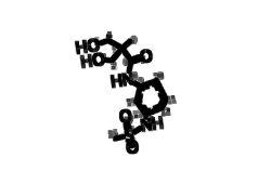 CC(CO)(CO)C(=O)Nc1cccc(NS(C)(=O)=O)c1